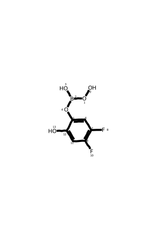 OOB(O)Oc1cc(F)c(F)cc1O